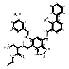 CCOC(=O)C(CO)NCc1c(OCc2cccnc2)cc(OCc2cccc(-c3ccccc3)c2Br)c2nonc12.Cl